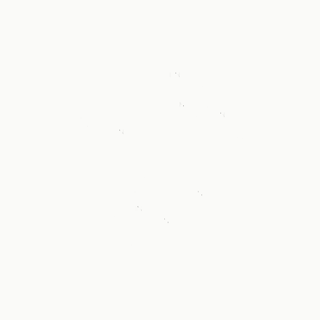 COc1ccc2nc(N)sc2n1.COc1ccc2nc(NC(=O)C(CC3CCOCC3)c3ccc4c(c3)N(C)c3ccccc3S4(=O)=O)sc2n1